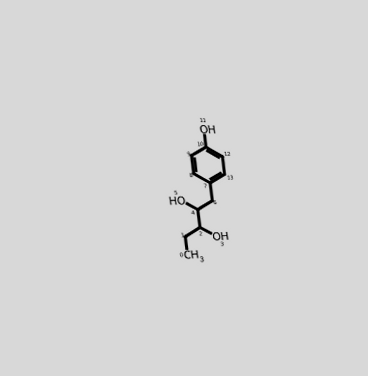 CCC(O)C(O)Cc1ccc(O)cc1